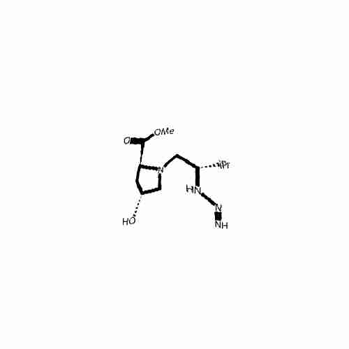 COC(=O)[C@@H]1C[C@@H](O)CN1C[C@@H](NN=N)C(C)C